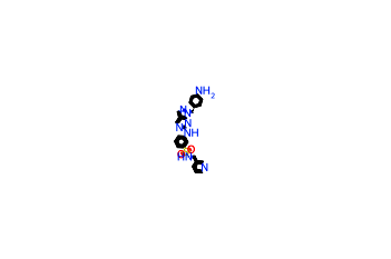 N[C@H]1CC[C@H](Cn2ncc3cnc(Nc4cccc(S(=O)(=O)NCc5cccnc5)c4)nc32)CC1